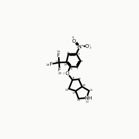 O=[N+]([O-])c1ccc(OC2CC3CNCC3C2)c(C(F)(F)F)c1